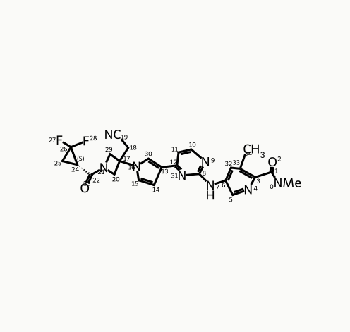 CNC(=O)c1ncc(Nc2nccc(-c3ccn(C4(CC#N)CN(C(=O)[C@@H]5CC5(F)F)C4)c3)n2)cc1C